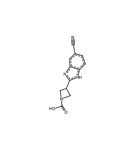 N#Cc1ccc2[nH]c(C3CN(C(=O)O)C3)nc2c1